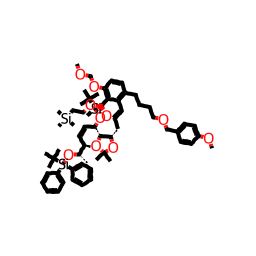 COCOc1ccc(CCCCOCc2ccc(OC)cc2)c(/C=C/C[C@@H]2OC(C)(C)O[C@@H]2C(/C=C\[C@@H](C)[C@H](C)O[Si](c2ccccc2)(c2ccccc2)C(C)(C)C)O[Si](C)(C)C(C)(C)C)c1C(=O)OCC[Si](C)(C)C